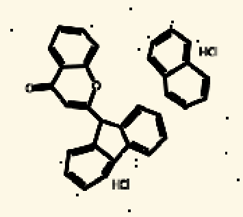 Cl.Cl.O=c1cc(C2c3ccccc3-c3ccccc32)oc2ccccc12.c1ccc2ccccc2c1